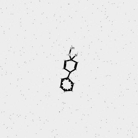 CCCOC1(Br)C=CC(c2ccccc2)C=C1